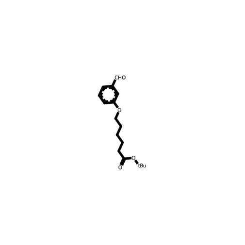 CC(C)(C)OC(=O)CCCCCOc1cccc(C=O)c1